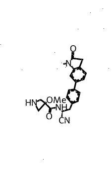 COC1(C(=O)N[C@H](C#N)Cc2ccc(-c3ccc4c(c3)N(C)C(=O)C4)cc2)CNC1